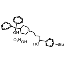 CC(C)(C)c1ccc(C(O)CCCN2CCC(C(O)(c3ccccc3)c3ccccc3)CC2)cc1.O=[N+]([O-])O